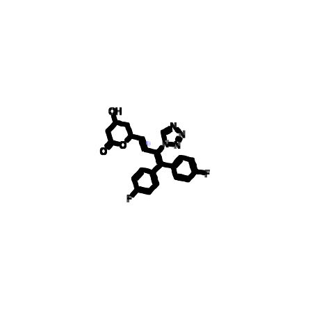 O=C1CC(O)CC(/C=C/C(=C(c2ccc(F)cc2)c2ccc(F)cc2)n2cnnn2)O1